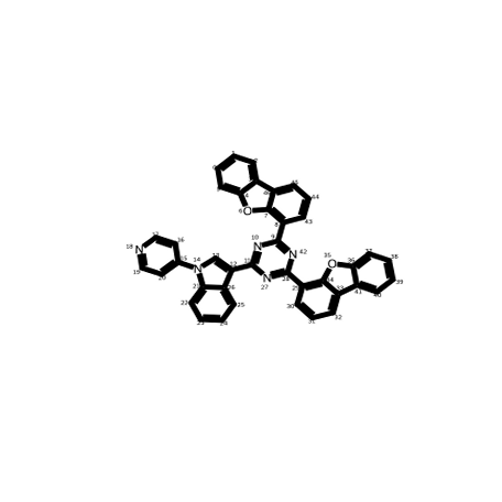 c1ccc2c(c1)oc1c(-c3nc(-c4cn(-c5ccncc5)c5ccccc45)nc(-c4cccc5c4oc4ccccc45)n3)cccc12